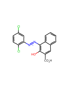 O=C(O)c1cc2ccccc2c(/N=N/c2cc(Cl)ccc2Cl)c1O